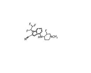 CN1CCC(Nc2cccc3c2cc(C#N)n3C(F)C(F)F)C(F)C1